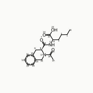 CCCCC(NC(=O)[C@@H]1Cc2ccccc2CN1C(C)=O)C(=O)O